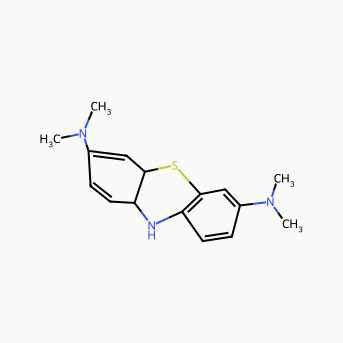 CN(C)C1=CC2Sc3cc(N(C)C)ccc3NC2C=C1